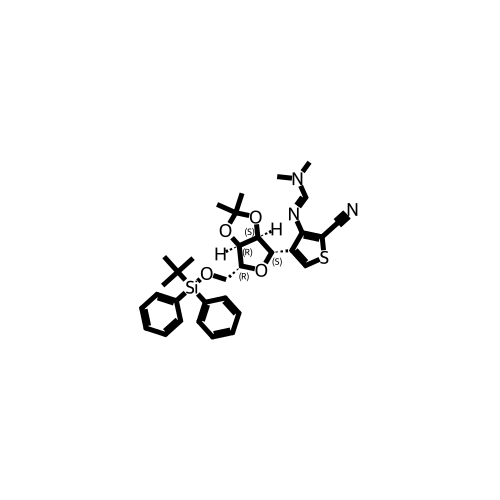 CN(C)C=Nc1c([C@@H]2O[C@H](CO[Si](c3ccccc3)(c3ccccc3)C(C)(C)C)[C@H]3OC(C)(C)O[C@H]32)csc1C#N